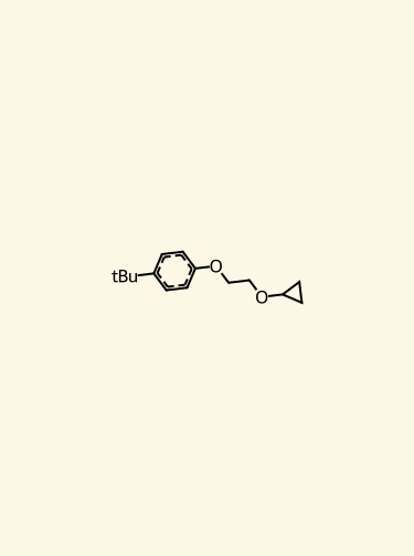 CC(C)(C)c1ccc(OCCOC2CC2)cc1